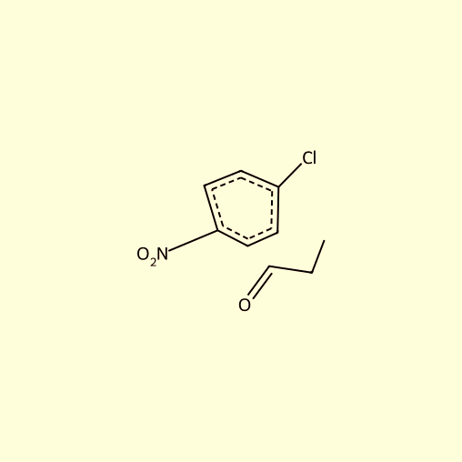 CCC=O.O=[N+]([O-])c1ccc(Cl)cc1